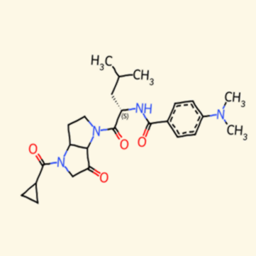 CC(C)C[C@H](NC(=O)c1ccc(N(C)C)cc1)C(=O)N1CCC2C1C(=O)CN2C(=O)C1CC1